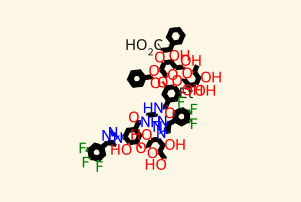 CCC1CC(C(=O)NCCNC(=O)C2CC(n3cc(-c4cc(F)c(F)c(F)c4)nn3)C(O)[C@H](O[C@@H]3OC(CO)[C@H](O)C(n4cc(-c5cc(F)c(F)c(F)c5)nn4)C3O)C2)C[C@@H](O[C@@H]2OC(CO)[C@H](O)C(O[C@@H](CC3CCCCC3)C(=O)O)C2OC(=O)c2ccccc2)C1O[C@@H]1OC(C)[C@@H](O)C(O)C1O